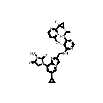 Cc1ccnc([C@@]2(F)C[C@@H]2C(=O)Nc2cc(NCc3cn4cc(C5CC5)cc(N5CC(=O)N(C)C5=O)c4n3)ncn2)n1